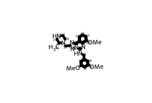 COc1cc(CNc2nc3c(OC)cccc3c3nc(CN4CCNCC4C)nn23)cc(OC)c1